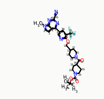 Cn1ccc2c(-c3cnc(OCC4CCN(C(=O)C5CCN(C(=O)OC(C)(C)C)CC5)CC4)c(C(F)(F)F)c3)nc(C#N)nc21